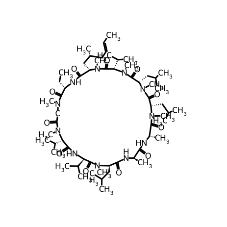 C/C=C/C[C@@H](C)C[C@H]1C(=O)N[C@@H](CC)C(=O)N(C)CC(=O)N(C)[C@@H](C(C)C)C(=O)N[C@H](C(C)C)C(=O)N(C)[C@H](CC(C)C)C(=O)N[C@H](C)C(=O)N[C@@H](C)C(=O)N(C)[C@@H](CC(C)C)C(=O)N(C)[C@@H](CC(C)C)C(=O)N(C)[C@@H](C(C)C)C(=O)N1C